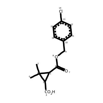 CC1(C)C(C(=O)O)C1C(=O)OCc1ccc(Cl)cc1